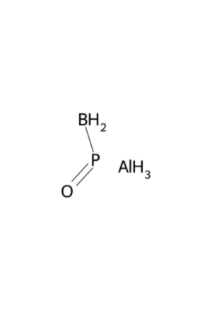 BP=O.[AlH3]